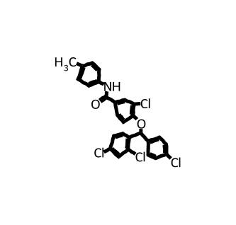 Cc1ccc(NC(=O)c2ccc(OC(c3ccc(Cl)cc3)c3ccc(Cl)cc3Cl)c(Cl)c2)cc1